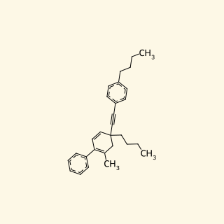 CCCCc1ccc(C#CC2(CCCC)C=CC(c3ccccc3)=C(C)C2)cc1